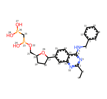 CCc1nc(NCc2ccccc2)c2ccc(C3CC[C@@H](COP(O)CP(O)O)O3)cc2n1